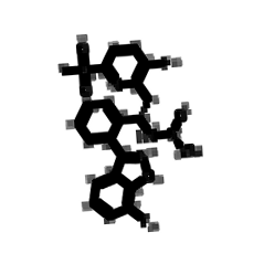 CC(C)(C)[S@+]([O-])N[C@@H](Cc1nc(S(C)(=O)=O)ccc1F)c1ccccc1-c1noc2c(F)cccc12